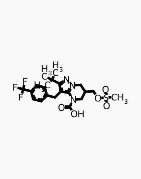 CC(C)(C)c1nn2c(c1Cc1ccc(C(F)(F)F)cc1)N(C(=O)O)CC(COS(C)(=O)=O)C2